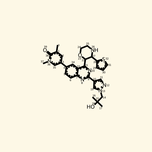 Cc1cc(-c2ccc3nc(-c4cnn(CC(C)(C)O)c4)nc(C4OCCNC4c4cccs4)c3c2)cn(C)c1=O